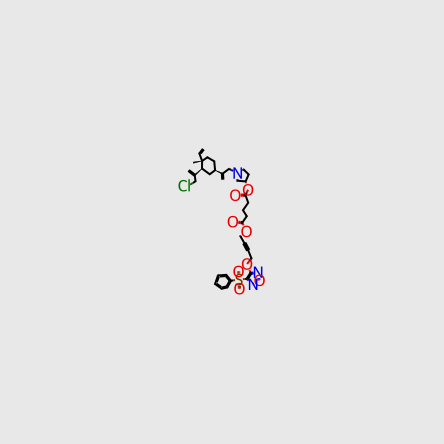 C=C[C@]1(C)CC[C@@H](C(=C)CN2CC[C@H](OC(=O)CCCC(=O)OCC#CCOc3nonc3S(=O)(=O)c3ccccc3)C2)C[C@H]1C(=C)CCl